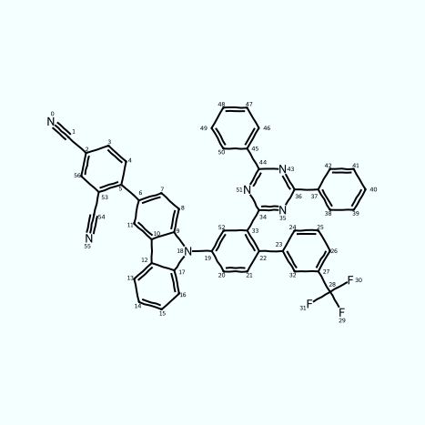 N#Cc1ccc(-c2ccc3c(c2)c2ccccc2n3-c2ccc(-c3cccc(C(F)(F)F)c3)c(-c3nc(-c4ccccc4)nc(-c4ccccc4)n3)c2)c(C#N)c1